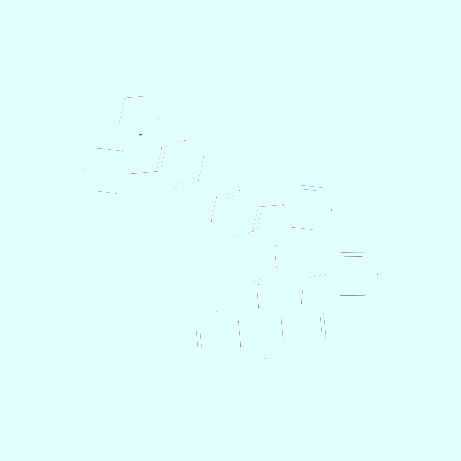 Nc1ccccc1C(NCn1c2c(c3c1CCC(C1=CC4=C(CC1)C1(CCCC1)C1CC=CC=C41)=C3)C=CCC2)c1cccc2c3c(sc12)C=CCC3